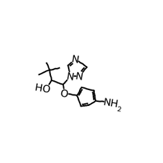 CC(C)(C)C(O)C(Oc1ccc(N)cc1)n1cncn1